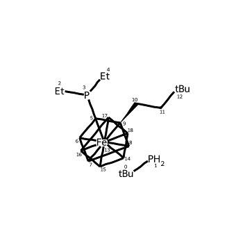 CC(C)(C)P.CCP(CC)[C]12[CH]3[CH]4[CH]5[C@]1(CCC(C)(C)C)[Fe]43521678[CH]2[CH]1[CH]6[CH]7[CH]28